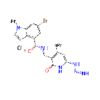 CCCc1cc(NN=N)[nH]c(=O)c1CNC(=O)c1cc(Br)cc2c1c(C)cn2C(C)C